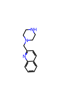 c1ccc2nc(CN3CCNCC3)ccc2c1